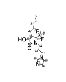 CCCCCC1=C(O)C(=O)N(CCCn2ccnc2)C1C(F)(F)F